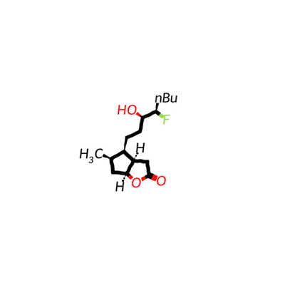 CCCC[C@@H](F)[C@H](O)CC[C@H]1[C@H]2CC(=O)O[C@H]2C[C@H]1C